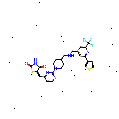 O=C1NC(=O)/C(=C\c2ccnc(N3CCC(CNCc4cc(-c5ccsc5)nc(C(F)(F)F)c4)CC3)n2)S1